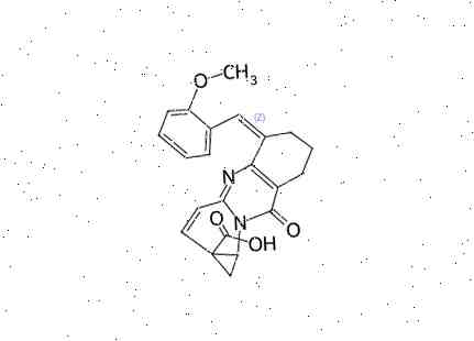 COc1ccccc1/C=C1/CCCc2c1nc1n(c2=O)C2CC2(C(=O)O)C=C1